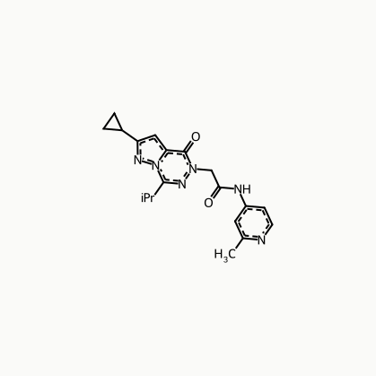 Cc1cc(NC(=O)Cn2nc(C(C)C)n3nc(C4CC4)cc3c2=O)ccn1